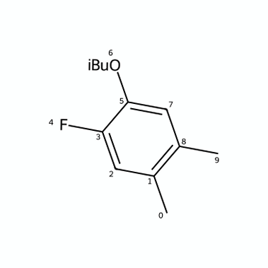 Cc1cc(F)c(OCC(C)C)cc1C